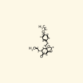 C=CC[C@H]1C[C@]2(CCc3ccc(OCC)cc3)OCOC2=CC1=O